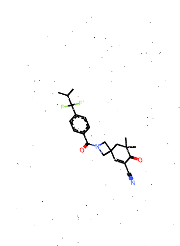 CC(C)C(F)(F)c1ccc(C(=O)N2CC3(C=C(C#N)C(=O)C(C)(C)C3)C2)cc1